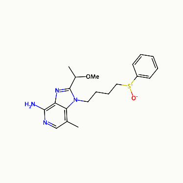 COC(C)c1nc2c(N)ncc(C)c2n1CCCC[S+]([O-])c1ccccc1